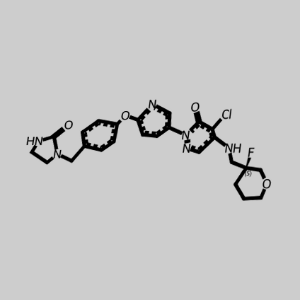 O=C1NCCN1Cc1ccc(Oc2ccc(-n3ncc(NC[C@@]4(F)CCCOC4)c(Cl)c3=O)cn2)cc1